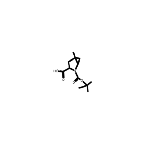 CC(C)(C)OC(=O)N1C(C(=O)O)CC2(C)CC12